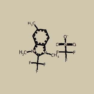 Cc1ccc2c(c1)[n+](C)c(C(F)(F)F)n2C.O=S(=O)([O-])C(F)(F)F